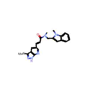 CNc1n[nH]c2ncc(C=CC(=O)N(C)Cc3cc4ccccc4n3C)cc12